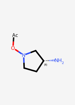 CC(=O)ON1CC[C@@H](N)C1